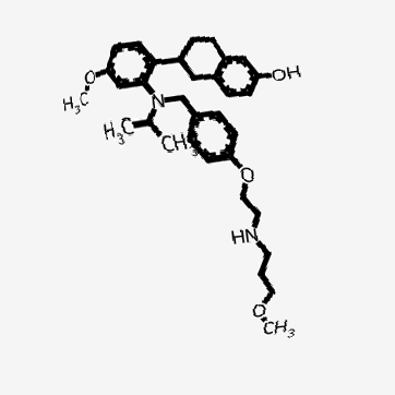 COCCCNCCOc1ccc(CN(c2cc(OC)ccc2C2CCc3cc(O)ccc3C2)C(C)C)cc1